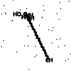 C#CCCCCCCCCCCCCCCCCCCCCCCCCCCNNNC(=O)O